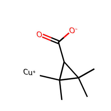 CC1(C)C(C(=O)[O-])C1(C)C.[Cu+]